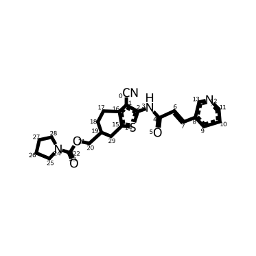 N#Cc1c(NC(=O)C=Cc2cccnc2)sc2c1CCC(COC(=O)N1CCCC1)C2